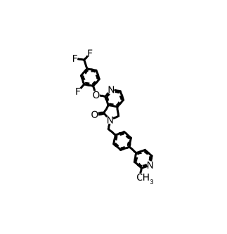 Cc1cc(-c2ccc(CN3Cc4ccnc(Oc5ccc(C(F)F)cc5F)c4C3=O)cc2)ccn1